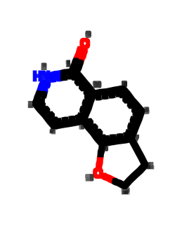 O=c1[nH]ccc2c3c(ccc12)CCO3